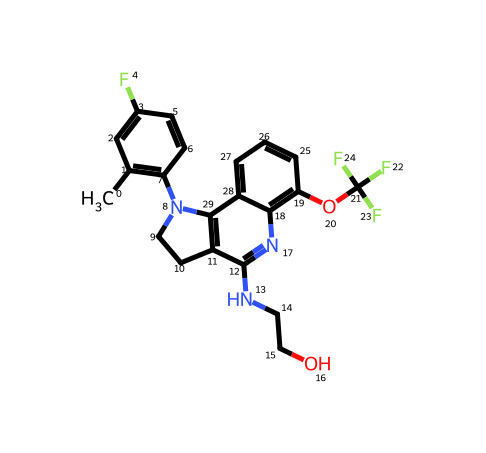 Cc1cc(F)ccc1N1CCc2c(NCCO)nc3c(OC(F)(F)F)cccc3c21